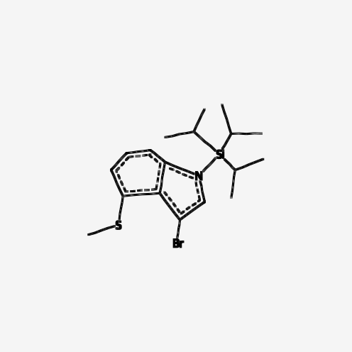 CSc1cccc2c1c(Br)cn2[Si](C(C)C)(C(C)C)C(C)C